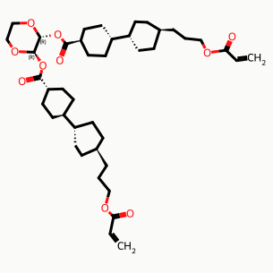 C=CC(=O)OCCC[C@H]1CC[C@H]([C@H]2CC[C@H](C(=O)O[C@H]3OCCO[C@@H]3OC(=O)[C@H]3CC[C@H]([C@H]4CC[C@H](CCCOC(=O)C=C)CC4)CC3)CC2)CC1